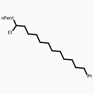 CCCCCC(CC)CC[CH]CCCCCCCCC(C)C